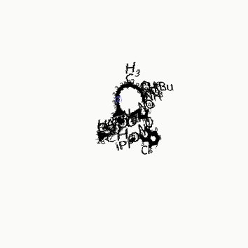 CC(C)Oc1cc2c(Cl)cccc2c(O[C@@H]2C[C@H]3C(=O)N[C@]4(C(=O)NS(=O)(=O)C5(C)CC5)CC4/C=C\CC[C@@H](C)C[C@@H](C)[C@H](NC(=O)OC(C)(C)C)C(=O)N3C2)n1